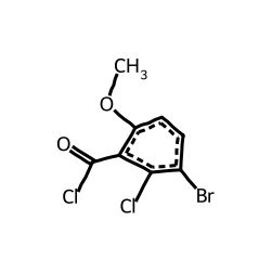 COc1ccc(Br)c(Cl)c1C(=O)Cl